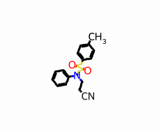 Cc1ccc(S(=O)(=O)N(CCC#N)c2ccccc2)cc1